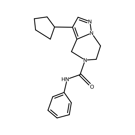 O=C(Nc1ccccc1)N1CCn2ncc(C3CCCC3)c2C1